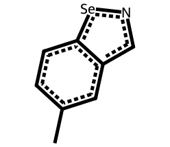 Cc1ccc2[se]ncc2c1